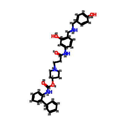 O=C(CCN1CCC(OC(=O)Nc2ccccc2-c2ccccc2)CC1)Nc1ccc(CNCc2ccc(O)cc2)c(O)c1